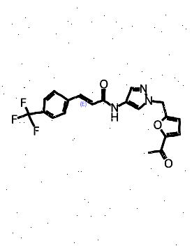 CC(=O)c1ccc(Cn2cc(NC(=O)/C=C/c3ccc(C(F)(F)F)cc3)cn2)o1